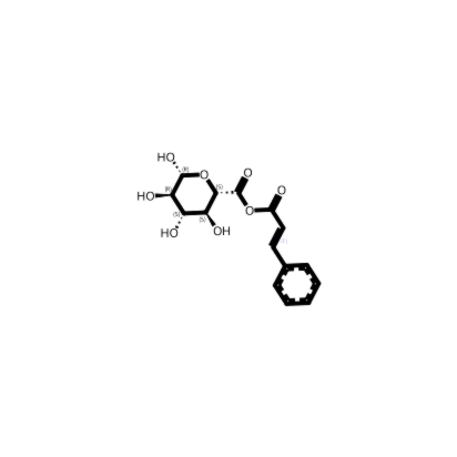 O=C(/C=C/c1ccccc1)OC(=O)[C@H]1O[C@@H](O)[C@H](O)[C@@H](O)[C@@H]1O